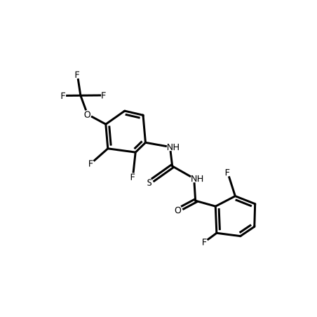 O=C(NC(=S)Nc1ccc(OC(F)(F)F)c(F)c1F)c1c(F)cccc1F